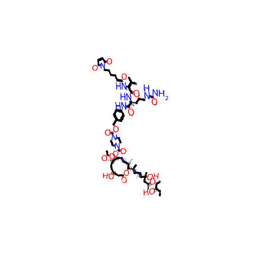 CC[C@H](O)C(C)O[C@@H](C)CC(C)(O)/C=C/C=C(\C)[C@H]1OC(=O)C[C@H](O)CC[C@@](C)(OC(C)=O)[C@@H](OC(=O)N2CCN(C(=O)OCc3ccc(NC(=O)[C@H](CCCNC(N)=O)NC(=O)[C@@H](NC(=O)CCCCCN4C(=O)C=CC4=O)C(C)C)cc3)CC2)/C=C/[C@@H]1C